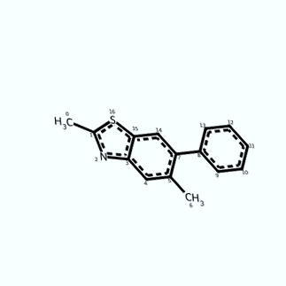 Cc1nc2cc(C)c(-c3ccccc3)cc2s1